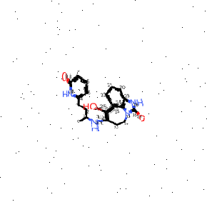 CC(CCc1cccc(=O)[nH]1)NC1CCn2c(=O)[nH]c3cccc(c32)C1O